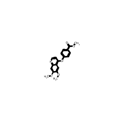 COC(=O)c1ccc(Oc2ccnc3cc(OC)c(OC)cc23)cc1